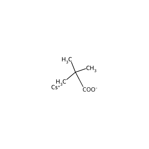 CC(C)(C)C(=O)[O-].[Cs+]